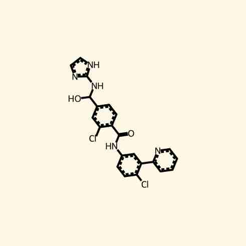 O=C(Nc1ccc(Cl)c(-c2ccccn2)c1)c1ccc(C(O)Nc2ncc[nH]2)cc1Cl